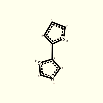 [c]1ncc(-c2cccs2)s1